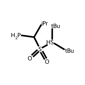 CC(C)C(P)S(=O)(=O)[SH](C(C)(C)C)C(C)(C)C